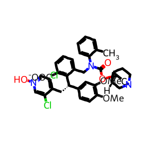 COc1ccc([C@H](Cc2c(Cl)c[n+](O)cc2Cl)c2c(CN(C(=O)O[C@H]3CN4CCC3CC4)c3ccccc3C)cccc2C(=O)[O-])cc1OC